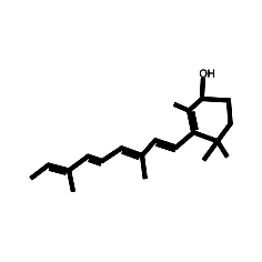 C/C=C(C)/C=C/C=C(C)/C=C/C1=C(C)C(O)CCC1(C)C